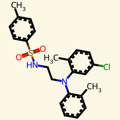 Cc1ccc(S(=O)(=O)NCCN(c2ccccc2C)c2cc(Cl)ccc2C)cc1